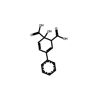 O=C(O)C1C=C(c2ccccc2)C=CC1(O)C(=O)O